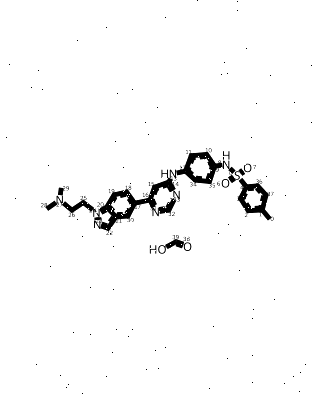 Cc1ccc(S(=O)(=O)Nc2ccc(Nc3cc(-c4ccc5c(cnn5CCN(C)C)c4)ncn3)cc2)cc1.O=CO